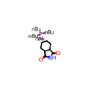 CCCC[PH](CCCC)(CCCC)CCCC.O=C1NC(=O)C2CCCCC12